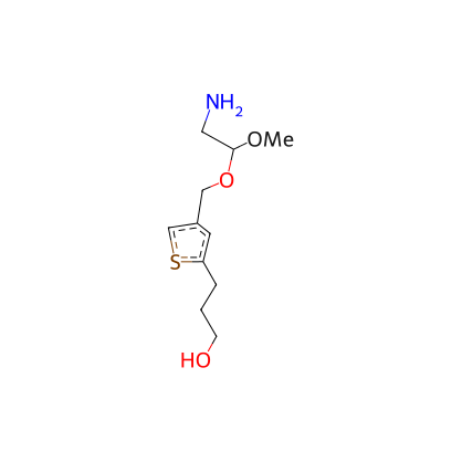 COC(CN)OCc1csc(CCCO)c1